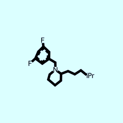 CC(C)CCCC1CCCCN1Cc1cc(F)cc(F)c1